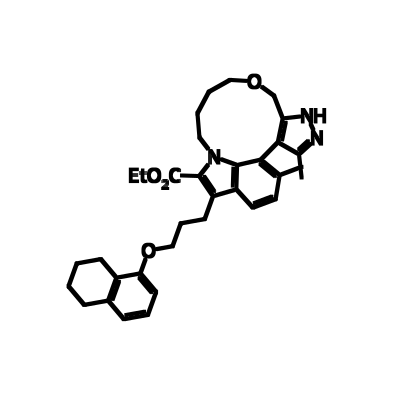 CCOC(=O)c1c(CCCOc2cccc3c2CCCC3)c2ccc(C)c3c2n1CCCCOCc1[nH]nc(C)c1-3